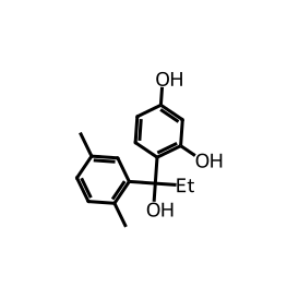 CCC(O)(c1cc(C)ccc1C)c1ccc(O)cc1O